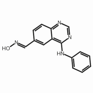 O/N=C/c1ccc2ncnc(Nc3ccccc3)c2c1